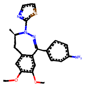 COc1cc2c(cc1OC)C(c1ccc(N)cc1)=NN(c1nccs1)[C@H](C)C2